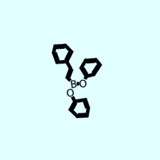 C(=Cc1ccccc1)B(Oc1ccccc1)Oc1ccccc1